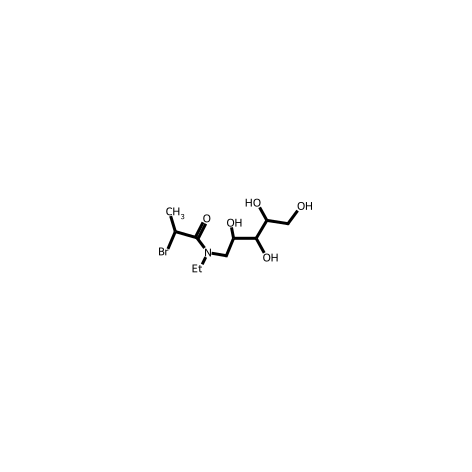 CCN(CC(O)C(O)C(O)CO)C(=O)C(C)Br